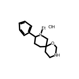 CCN1CC2(CCNCO2)CCC1c1ccccc1.Cl